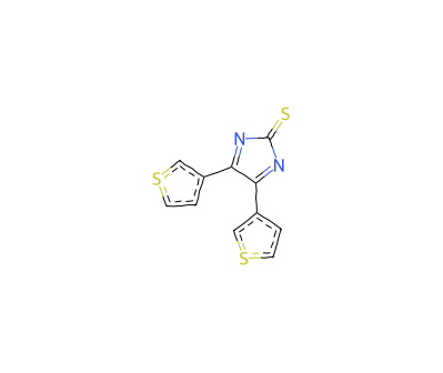 S=C1N=C(c2ccsc2)C(c2ccsc2)=N1